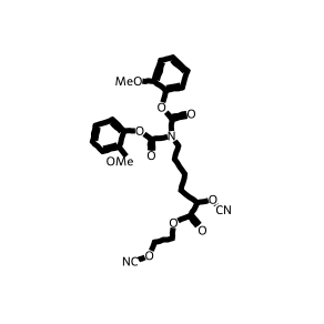 COc1ccccc1OC(=O)N(CCCCC(OC#N)C(=O)OCCOC#N)C(=O)Oc1ccccc1OC